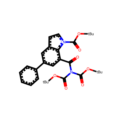 CC(C)(C)OC(=O)N(C(=O)OC(C)(C)C)C(=O)c1cc(-c2ccccc2)cc2ccn(C(=O)OC(C)(C)C)c12